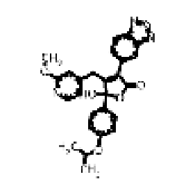 COc1cc(CC2=C(c3ccc4nsnc4c3)C(=O)OC2(O)c2ccc(OC(C)C)cc2)ccn1